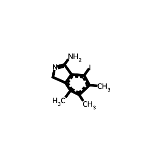 Cc1c(C)c(I)c2c(c1C)CN=C2N